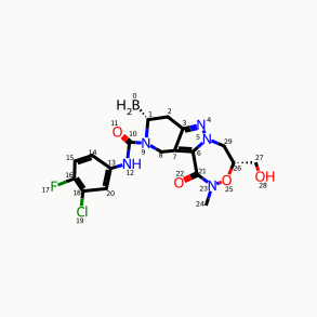 B[C@@H]1Cc2nn3c(c2CN1C(=O)Nc1ccc(F)c(Cl)c1)C(=O)N(C)O[C@@H](CO)C3